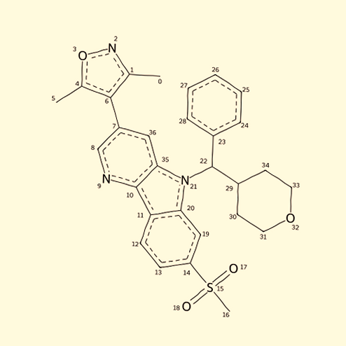 Cc1noc(C)c1-c1cnc2c3ccc(S(C)(=O)=O)cc3n(C(c3ccccc3)C3CCOCC3)c2c1